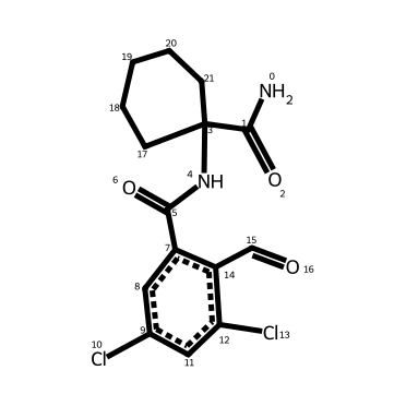 NC(=O)C1(NC(=O)c2cc(Cl)cc(Cl)c2C=O)CCCCC1